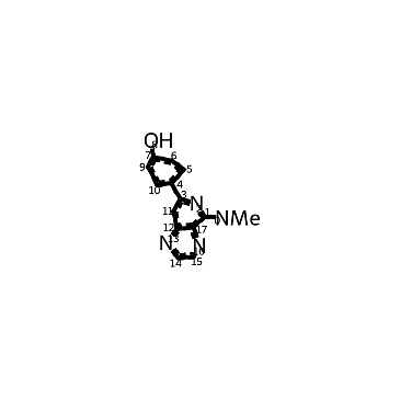 CNc1nc(-c2ccc(O)cc2)cc2nccnc12